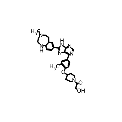 Cc1cc(-c2ncnc3[nH]c(C4=CC5CCN(C)CCNC5C=C4)nc23)ccc1OC1CCN(C(=O)CO)CC1